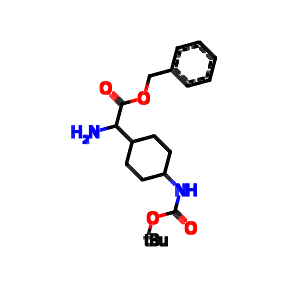 CC(C)(C)OC(=O)NC1CCC(C(N)C(=O)OCc2ccccc2)CC1